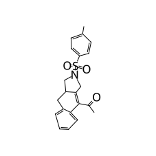 CC(=O)C1=C2CN(S(=O)(=O)c3ccc(C)cc3)CC2Cc2ccccc21